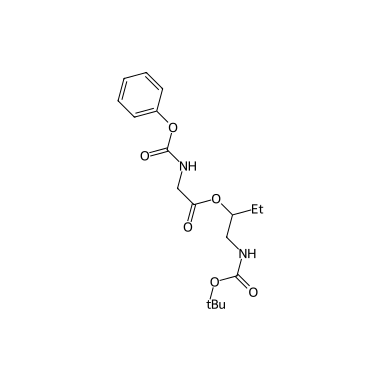 CCC(CNC(=O)OC(C)(C)C)OC(=O)CNC(=O)Oc1ccccc1